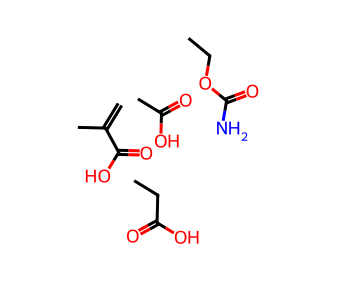 C=C(C)C(=O)O.CC(=O)O.CCC(=O)O.CCOC(N)=O